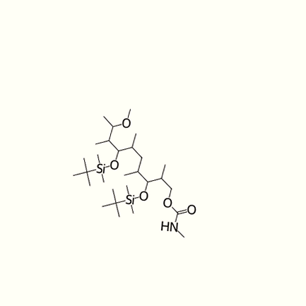 CNC(=O)OCC(C)C(O[Si](C)(C)C(C)(C)C)C(C)CC(C)C(O[Si](C)(C)C(C)(C)C)C(C)C(C)OC